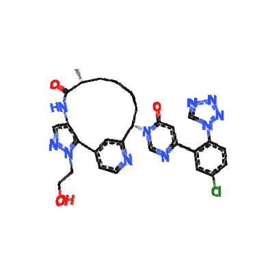 C[C@@H]1CCCC[C@H](n2cnc(-c3cc(Cl)ccc3-n3cnnn3)cc2=O)c2cc(ccn2)-c2c(cnn2CCO)NC1=O